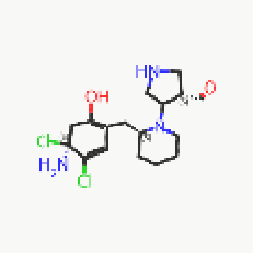 N[C@]1(Cl)CC(O)=C(C[C@@H]2CCCCN2C2CNC[C@@H]2C=O)C=C1Cl